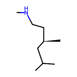 CNCC[C@@H](C)CC(C)C